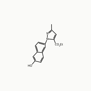 CCOC(=O)c1cc(C)nn1-c1ccc2cc(O)ccc2c1